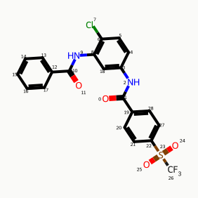 O=C(Nc1ccc(Cl)c(NC(=O)c2ccccc2)c1)c1ccc(S(=O)(=O)C(F)(F)F)cc1